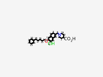 Cl.O=C(O)C1CCN(Cc2ccc3cc(OCCCCCc4ccccc4)ccc3c2)CC1